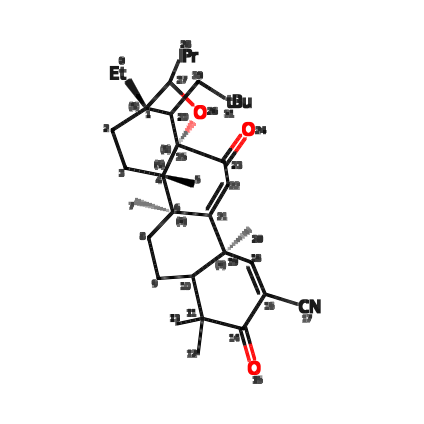 CC[C@@]12CC[C@@]3(C)[C@]4(C)CCC5C(C)(C)C(=O)C(C#N)=C[C@]5(C)C4=CC(=O)[C@]3(OC1C(C)C)C2CC(C)(C)C